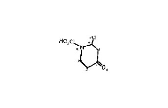 O=C1CCN(C(=O)O)C(Cl)C1